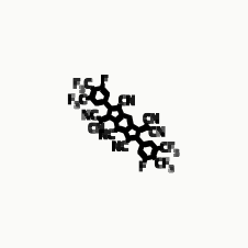 N#CC(C#N)=C1C(c2cc(F)c(C(F)(F)F)c(C(F)(F)F)c2)=C(C#N)c2c1cc1c(c2C#N)C(=C(C#N)C#N)C(c2cc(F)c(C(F)(F)F)c(C(F)(F)F)c2)=C1C#N